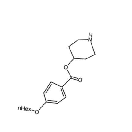 CCCCCCOc1ccc(C(=O)OC2CCNCC2)cc1